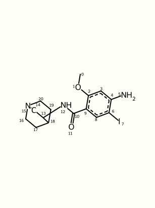 COc1cc(N)c(I)cc1C(=O)NC1CN2CCC1CC2